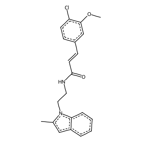 COc1cc(C=CC(=O)NCCn2c(C)cc3ccccc32)ccc1Cl